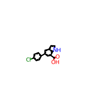 O=C(O)c1cc(-c2ccc(Cl)cc2)cc2cc[nH]c12